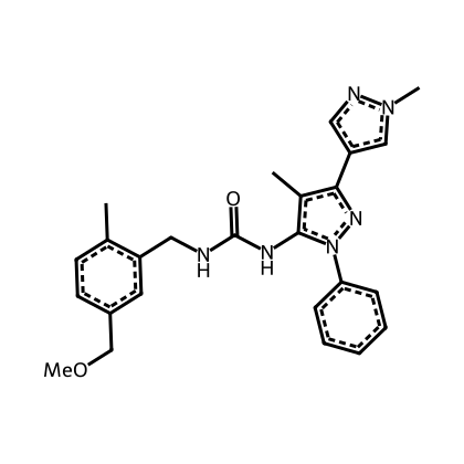 COCc1ccc(C)c(CNC(=O)Nc2c(C)c(-c3cnn(C)c3)nn2-c2ccccc2)c1